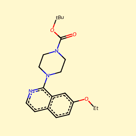 CCOc1ccc2ccnc(N3CCN(C(=O)OC(C)(C)C)CC3)c2c1